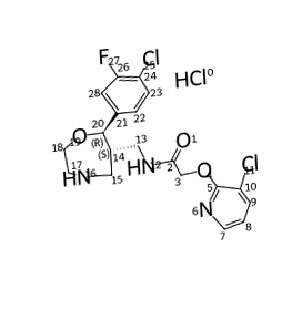 Cl.O=C(COc1ncccc1Cl)NC[C@@H]1CNCCO[C@H]1c1ccc(Cl)c(F)c1